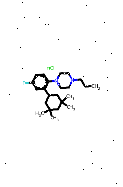 CCCN1CCN(c2ccc(F)cc2C2CC(C)(C)CC(C)(C)C2)CC1.Cl